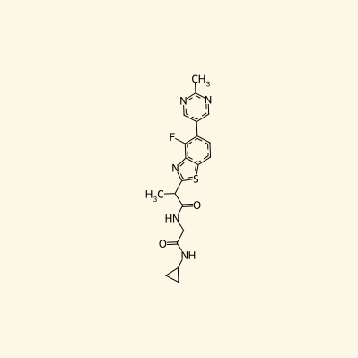 Cc1ncc(-c2ccc3sc(C(C)C(=O)NCC(=O)NC4CC4)nc3c2F)cn1